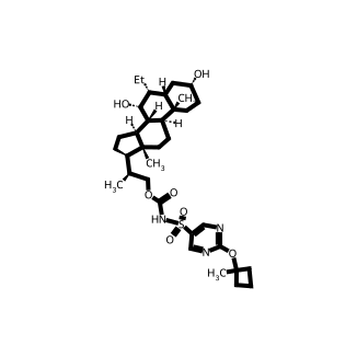 CC[C@H]1[C@@H](O)[C@@H]2[C@H](CC[C@]3(C)[C@@H]([C@H](C)COC(=O)NS(=O)(=O)c4cnc(OC5(C)CCC5)nc4)CC[C@@H]23)[C@@]2(C)CC[C@@H](O)C[C@@H]12